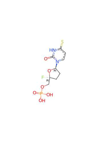 O=c1[nH]c(=S)ccn1[C@H]1CC[C@@](F)(COP(=O)(O)O)O1